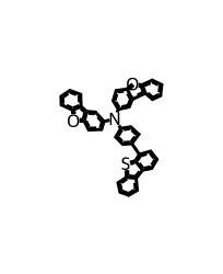 c1ccc2c(c1)oc1ccc(N(c3ccc(-c4cccc5c4sc4ccccc45)cc3)c3ccc4oc5ccccc5c4c3)cc12